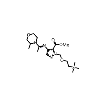 COC(=O)c1c(/N=C(\C)N2CCOCC2C)cnn1COCC[Si](C)(C)C